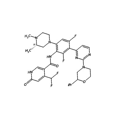 CC(C)C1CN(c2nccc(-c3c(F)cc(N4CCN(C)[C@@H](C)C4)c(NC(=O)c4c[nH]c(=O)cc4C(F)F)c3F)n2)CCO1